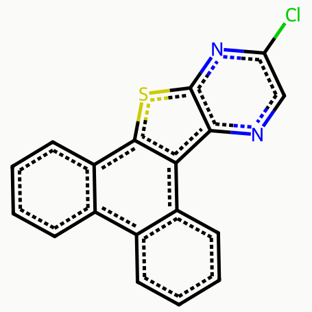 Clc1cnc2c(n1)sc1c3ccccc3c3ccccc3c21